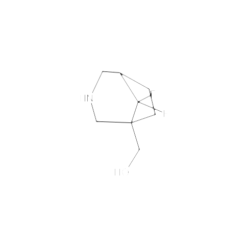 OCC12CCC(CNC1)C2(F)F